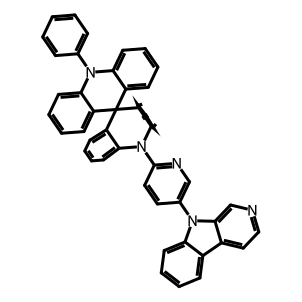 c1ccc(N2c3ccccc3C3(c4ccccc42)c2ccccc2N(c2ccc(-n4c5ccccc5c5ccncc54)cn2)c2ccccc23)cc1